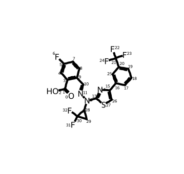 O=C(O)c1cc(F)ccc1/C=N/N(c1nc(-c2cccc(C(F)(F)F)c2)cs1)C1CC1(F)F